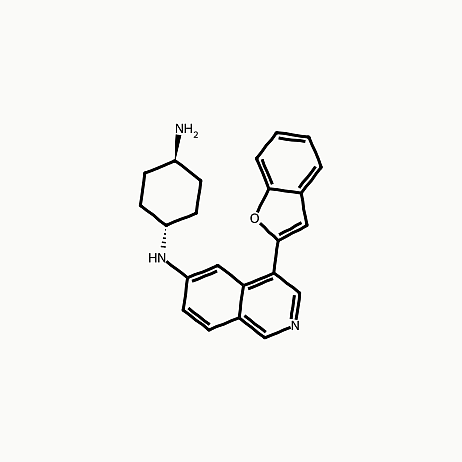 N[C@H]1CC[C@H](Nc2ccc3cncc(-c4cc5ccccc5o4)c3c2)CC1